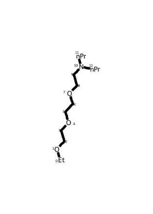 [CH2]COCCOCCOCCN(CCC)CCC